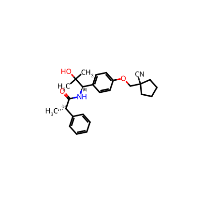 C[C@H](C(=O)N[C@H](c1ccc(OCC2(C#N)CCCC2)cc1)C(C)(C)O)c1ccccc1